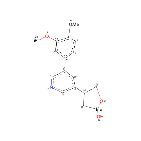 COc1ccc(-c2cncc(C3COB(O)C3)c2)cc1OC(C)C